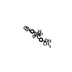 CC(O)c1ccc(C[C@H](N)C(=O)Nc2ccc(N3CCOCC3)cc2)cc1